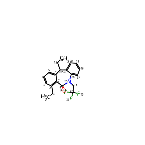 CCc1cccc2c1C(=O)N(CC(F)(F)F)c1ccccc1C2CC